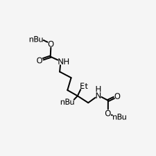 CCCCOC(=O)NCCCC(CC)(CCCC)CNC(=O)OCCCC